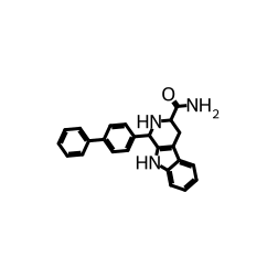 NC(=O)C1Cc2c([nH]c3ccccc23)C(c2ccc(-c3ccccc3)cc2)N1